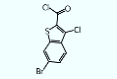 O=C(Cl)c1sc2cc(Br)ccc2c1Cl